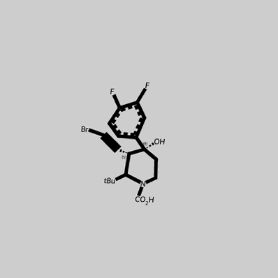 CC(C)(C)C1[C@H](C#CBr)[C@@](O)(c2ccc(F)c(F)c2)CCN1C(=O)O